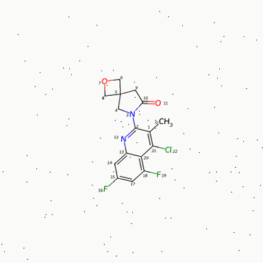 Cc1c(N2CC3(COC3)CC2=O)nc2cc(F)cc(F)c2c1Cl